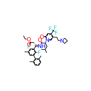 CCOC(=O)C[C@H](NC(=O)C(CC(C)C)n1cc(CCN2CCC2)c(C(F)(F)F)cc1=O)c1c(F)c(C)cc(-c2c(C)cccc2C)c1F